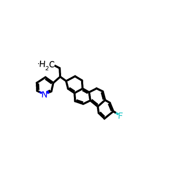 [CH2]CC(c1cccnc1)C1C=c2ccc3c(c2CC1)CC=c1cc(F)ccc1=3